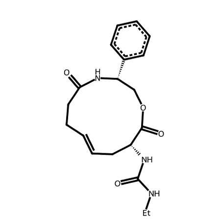 CCNC(=O)N[C@@H]1C/C=C/CCC(=O)N[C@H](c2ccccc2)COC1=O